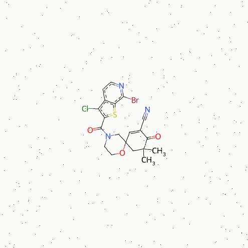 CC1(C)CC2(C=C(C#N)C1=O)CN(C(=O)c1sc3c(Br)nccc3c1Cl)CCO2